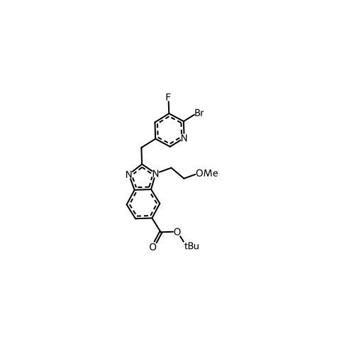 COCCn1c(Cc2cnc(Br)c(F)c2)nc2ccc(C(=O)OC(C)(C)C)cc21